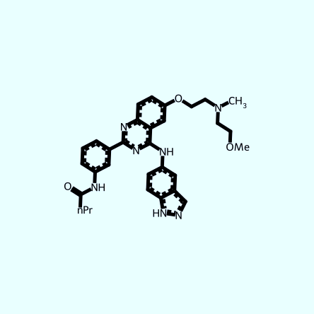 CCCC(=O)Nc1cccc(-c2nc(Nc3ccc4[nH]ncc4c3)c3cc(OCCN(C)CCOC)ccc3n2)c1